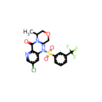 CC1COCCN1C(=O)c1ncc(Cl)cc1NS(=O)(=O)c1cccc(C(F)(F)F)c1